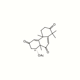 CC(=O)O[C@@H]1CC(=O)C=C2C3(C)CCC(=O)C(C)(C)C3=CC(=O)C21C